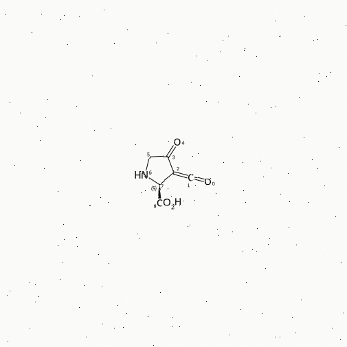 O=C=C1C(=O)CN[C@@H]1C(=O)O